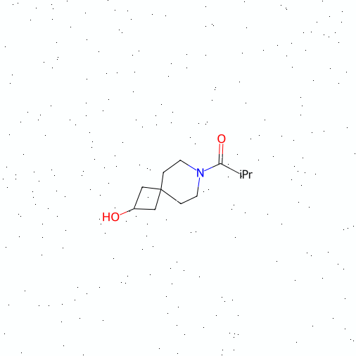 CC(C)C(=O)N1CCC2(CC1)CC(O)C2